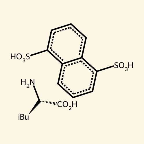 CC[C@H](C)[C@H](N)C(=O)O.O=S(=O)(O)c1cccc2c(S(=O)(=O)O)cccc12